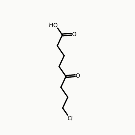 O=C(O)CCCC(=O)CCCCl